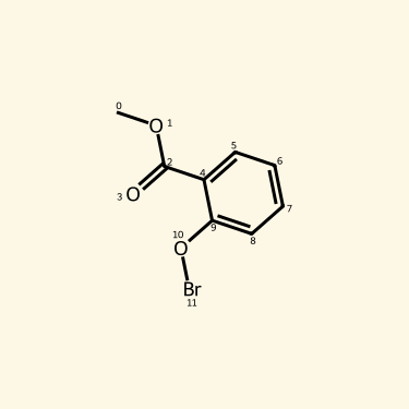 COC(=O)c1ccccc1OBr